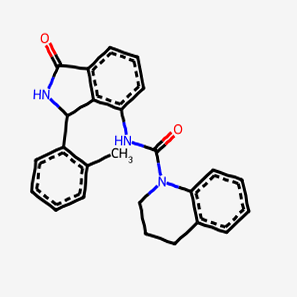 Cc1ccccc1C1NC(=O)c2cccc(NC(=O)N3CCCc4ccccc43)c21